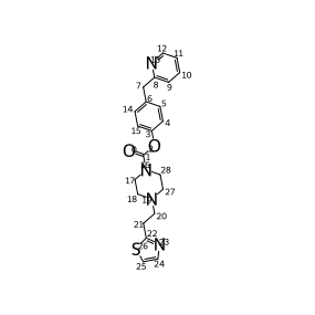 O=C(Oc1ccc(Cc2ccccn2)cc1)N1CCN(CCc2nccs2)CC1